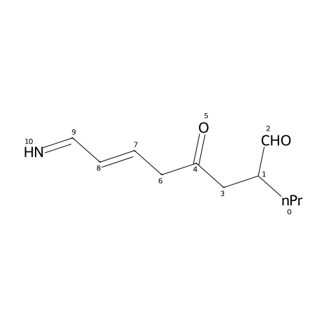 CCCC(C=O)CC(=O)CC=CC=N